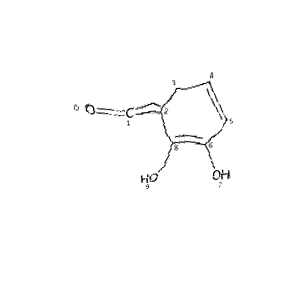 O=C=C1CC=CC(O)=C1O